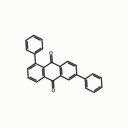 O=C1c2cc(-c3ccccc3)ccc2C(=O)c2c1cccc2-c1ccccc1